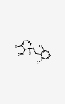 O=CC1C(Cl)=CC=CC1(Cl)N=Cc1c(Cl)cccc1Cl